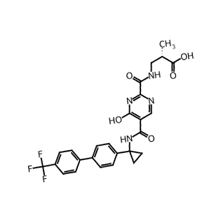 C[C@@H](CNC(=O)c1ncc(C(=O)NC2(c3ccc(-c4ccc(C(F)(F)F)cc4)cc3)CC2)c(O)n1)C(=O)O